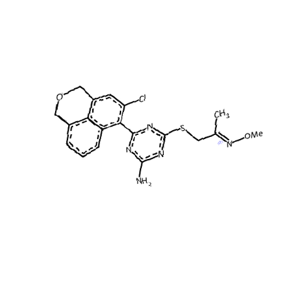 CO/N=C(\C)CSc1nc(N)nc(-c2c(Cl)cc3c4c(cccc24)COC3)n1